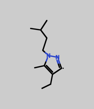 CCc1[c]nn(CCC(C)C)c1C